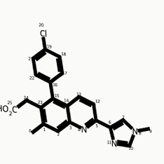 Cc1cc2nc(-c3cn(C)cn3)ccc2c(-c2ccc(Cl)cc2)c1CC(=O)O